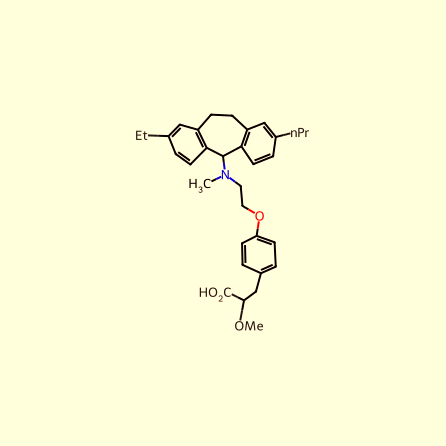 CCCc1ccc2c(c1)CCc1cc(CC)ccc1C2N(C)CCOc1ccc(CC(OC)C(=O)O)cc1